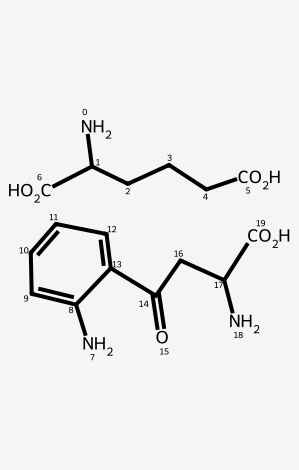 NC(CCCC(=O)O)C(=O)O.Nc1ccccc1C(=O)CC(N)C(=O)O